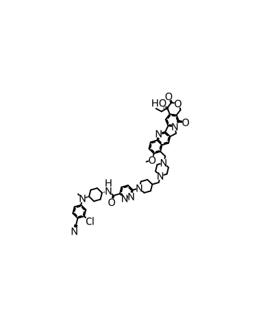 CC[C@@]1(O)C(=O)OCc2c1cc1n(c2=O)Cc2cc3c(CN4CCN(CC5CCN(c6ccc(C(=O)N[C@H]7CC[C@H](N(C)c8ccc(C#N)c(Cl)c8)CC7)nn6)CC5)CC4)c(OC)ccc3nc2-1